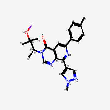 Cc1ccc(-c2cc3c(=O)n([C@@H](C)C(C)(C)OI)cnc3c(-c3cnn(C)c3)n2)cc1